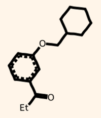 CCC(=O)c1cccc(OCC2CCCCC2)c1